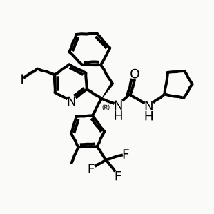 Cc1ccc([C@@](Cc2ccccc2)(NC(=O)NC2CCCC2)c2ccc(CI)cn2)cc1C(F)(F)F